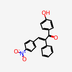 O=C(/C(=C/c1ccc([N+](=O)[O-])cc1)c1ccccc1)c1ccc(O)cc1